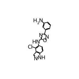 Nc1cccc(-c2noc(Nc3ccc4[nH]ncc4c3Cl)n2)c1